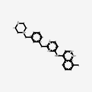 Cc1cccc2c(Nc3ccnc(Cc4cccc(CN5CCOCC5)c4)n3)cnnc12